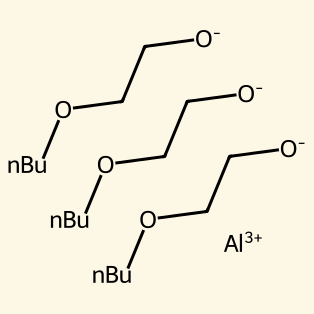 CCCCOCC[O-].CCCCOCC[O-].CCCCOCC[O-].[Al+3]